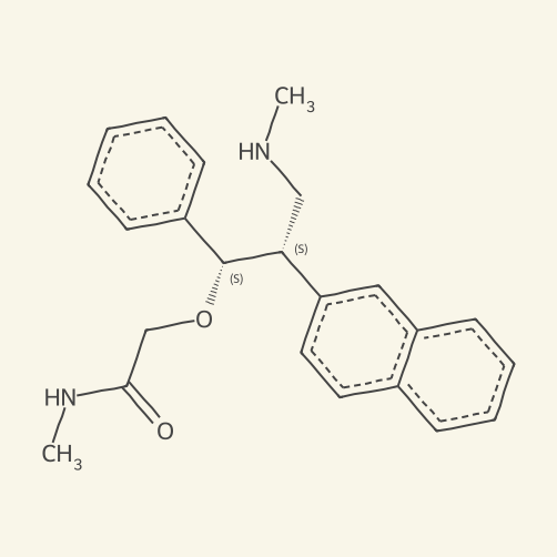 CNC[C@H](c1ccc2ccccc2c1)[C@H](OCC(=O)NC)c1ccccc1